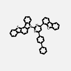 c1ccc(-c2ccc(-c3cc(-c4cccc5c4oc4ccccc45)nc(-n4c5ccccc5c5c6sc7ccccc7c6ccc54)n3)cc2)cc1